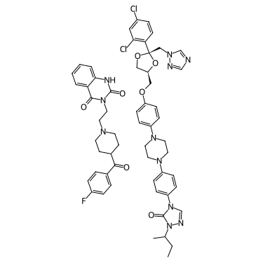 CCC(C)n1ncn(-c2ccc(N3CCN(c4ccc(OC[C@H]5CO[C@](Cn6cncn6)(c6ccc(Cl)cc6Cl)O5)cc4)CC3)cc2)c1=O.O=C(c1ccc(F)cc1)C1CCN(CCn2c(=O)[nH]c3ccccc3c2=O)CC1